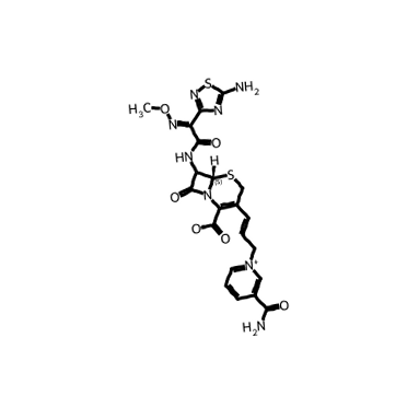 CON=C(C(=O)NC1C(=O)N2C(C(=O)[O-])=C(C=CC[n+]3cccc(C(N)=O)c3)CS[C@@H]12)c1nsc(N)n1